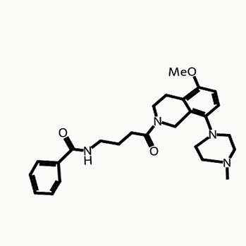 COc1ccc(N2CCN(C)CC2)c2c1CCN(C(=O)CCCNC(=O)c1ccccc1)C2